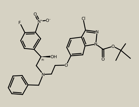 CC(C)(C)OC(=O)n1nc(Cl)c2ccc(OCCN(Cc3ccccc3)C[C@H](O)c3ccc(F)c([N+](=O)[O-])c3)cc21